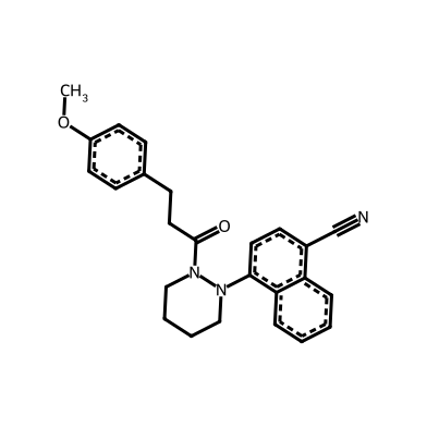 COc1ccc(CCC(=O)N2CCCCN2c2ccc(C#N)c3ccccc23)cc1